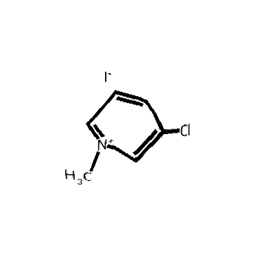 C[n+]1cccc(Cl)c1.[I-]